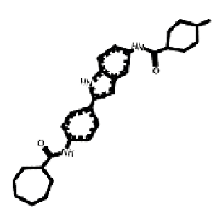 CC1CCC(C(=O)Nc2ccc3[nH]c(-c4ccc(NC(=O)C5CCCCCC5)cc4)cc3c2)CC1